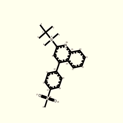 CC(C)(C)[Si](C)(C)c1cc(-c2ccc(S(C)(=O)=O)cc2)c2ccccc2n1